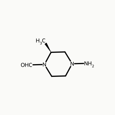 C[C@H]1CN(N)CCN1C=O